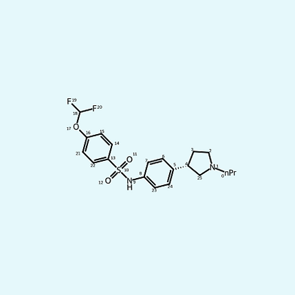 CCCN1CC[C@@H](c2ccc(NS(=O)(=O)c3ccc(OC(F)F)cc3)cc2)C1